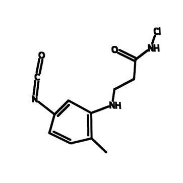 Cc1ccc(N=C=O)cc1NCCC(=O)NCl